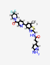 Nc1ccc(/C=C/C(=O)NCc2nc3cc(-c4ccc(C(=O)N5CCC(F)(F)CC5)cn4)cc(C(F)(F)F)c3s2)cn1